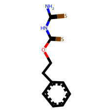 NC(=S)NC(=S)OCCc1ccccc1